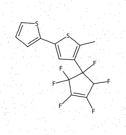 Cc1sc(-c2cccs2)cc1C1(F)C(F)C(F)=C(F)C1(F)F